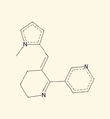 Cn1cccc1C=C1CCCN=C1c1cccnc1